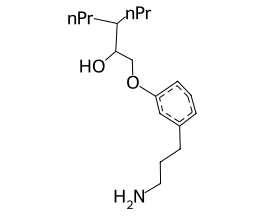 CCCC(CCC)C(O)COc1cccc(CCCN)c1